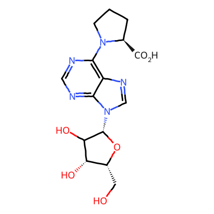 O=C(O)[C@@H]1CCCN1c1ncnc2c1ncn2[C@@H]1O[C@H](CO)[C@H](O)C1O